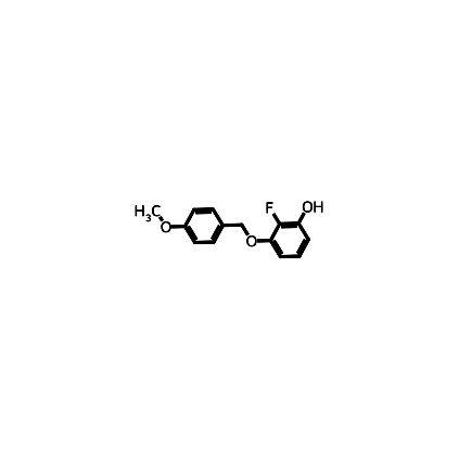 COc1ccc(COc2cccc(O)c2F)cc1